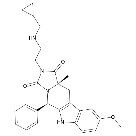 COc1ccc2[nH]c3c(c2c1)C[C@@]1(C)C(=O)N(CCNCC2CC2)C(=O)N1[C@@H]3c1ccccc1